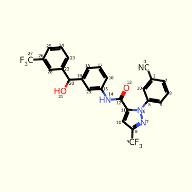 N#Cc1cccc(-n2nc(C(F)(F)F)cc2C(=O)Nc2cccc(C(O)c3cccc(C(F)(F)F)c3)c2)c1